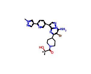 C[C@@H](O)C(=O)N1CCC(c2nc3c(-c4ccc(-c5cnn(C)c5)nc4)cnn3c(N)c2Br)CC1